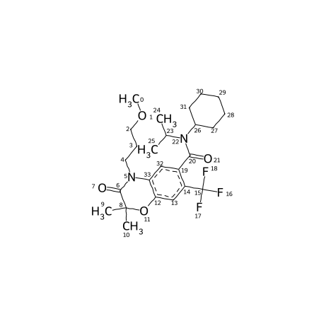 COCCCN1C(=O)C(C)(C)Oc2cc(C(F)(F)F)c(C(=O)N(C(C)C)C3CCCCC3)cc21